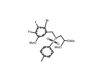 COc1cc(CN(CC(OC)OC)S(=O)(=O)c2ccc(C)cc2)c(Br)c(F)c1F